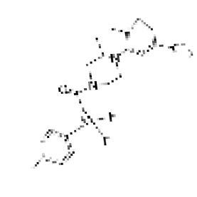 Cc1ccc(C2=C(C(=O)N3CCN(c4cc(C(F)(F)F)ccc4C)C(C)C3)C2(F)F)cc1